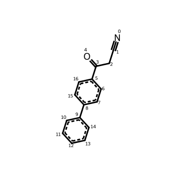 N#CCC(=O)c1ccc(-c2ccccc2)cc1